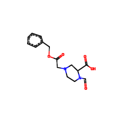 O=CN1CCN(CC(=O)OCc2ccccc2)CC1C(=O)O